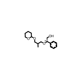 CC(COC1CCCCO1)CO[C@@H](CO)c1ccccc1